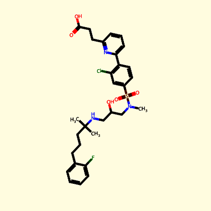 CN(CC(O)CNC(C)(C)CCCc1ccccc1F)S(=O)(=O)c1ccc(-c2cccc(CCC(=O)O)n2)c(Cl)c1